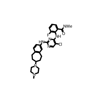 CNC(=O)c1cccc(F)c1Nc1nc(Nc2ccc3c(c2)CCC(N2CCN(C)CC2)CC3)ncc1Cl